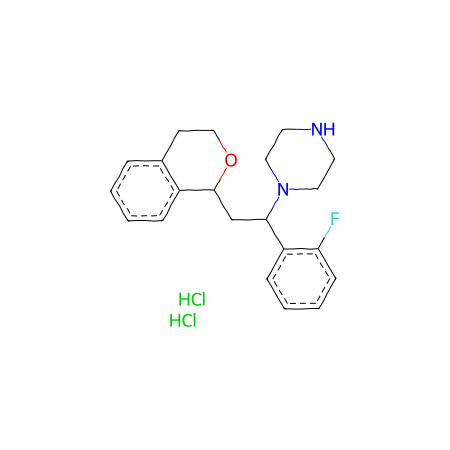 Cl.Cl.Fc1ccccc1C(CC1OCCc2ccccc21)N1CCNCC1